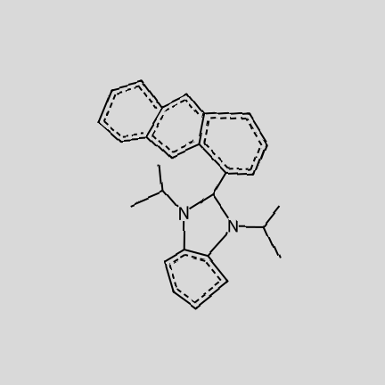 CC(C)N1c2ccccc2N(C(C)C)C1c1cccc2cc3ccccc3cc12